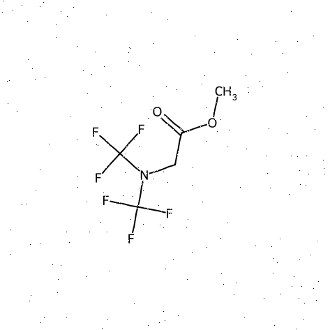 COC(=O)CN(C(F)(F)F)C(F)(F)F